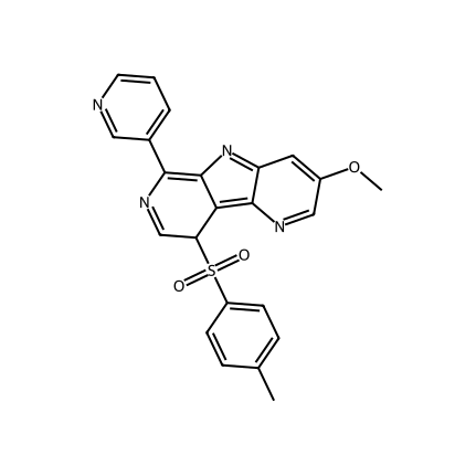 COc1cnc2c(c1)=NC1=C(c3cccnc3)N=CC(S(=O)(=O)c3ccc(C)cc3)C=21